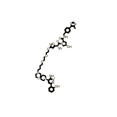 Cc1ncsc1-c1ccc(CNC(=O)C2C[C@@H](O)CN2C(=O)[C@@H](c2cc(OCCOCCOCCCCN3CCOC4(CCN(c5cc(-c6ccccc6O)nnc5N)CC4)C3)no2)C(C)C)cc1